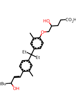 CCC(CC)(c1ccc(/C=C/C(O)C(C)(C)C)c(C)c1)c1ccc(OCC(O)CCC(=O)O)c(C)c1